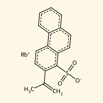 C=C(C)c1ccc2c(ccc3ccccc32)c1S(=O)(=O)[O-].[Rb+]